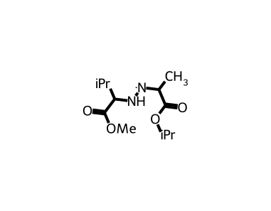 COC(=O)C(N[N]C(C)C(=O)OC(C)C)C(C)C